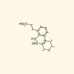 Cc1c(CCC(=O)O)cccc1C1=C(C=O)CCCC1